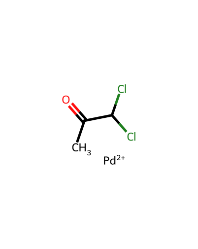 CC(=O)C(Cl)Cl.[Pd+2]